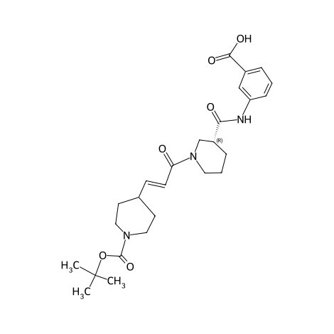 CC(C)(C)OC(=O)N1CCC(C=CC(=O)N2CCC[C@@H](C(=O)Nc3cccc(C(=O)O)c3)C2)CC1